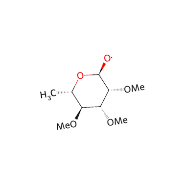 CO[C@@H]1[C@@H](OC)[C@H](C)O[C@@H]([O])[C@@H]1OC